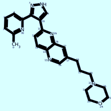 Cc1cccc(-c2n[nH]cc2-c2ccc3ncc(CCCN4CCOCC4)cc3n2)n1